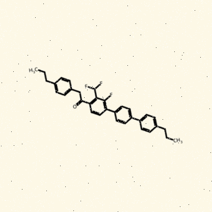 CCCc1ccc(CC(=O)c2ccc(-c3ccc(-c4ccc(CCC)cc4)cc3)c(F)c2C(F)F)cc1